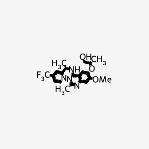 COc1cc2nc(C)nc(N[C@H](C)c3cc(C(F)(F)F)ccn3)c2cc1OC(C)CO